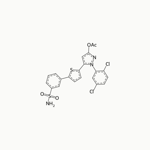 CC(=O)Oc1cc(-c2ccc(-c3cccc(S(N)(=O)=O)c3)s2)n(-c2cc(Cl)ccc2Cl)n1